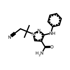 CC(C)(CC#N)n1cc(C(N)=O)c(Nc2ccccc2)n1